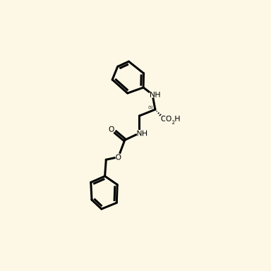 O=C(NC[C@H](Nc1ccccc1)C(=O)O)OCc1ccccc1